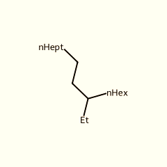 [CH2]CCCCCCCCC(CC)CCCCC[CH2]